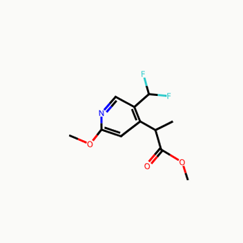 COC(=O)C(C)c1cc(OC)ncc1C(F)F